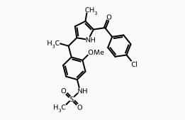 COc1cc(NS(C)(=O)=O)ccc1C(C)c1cc(C)c(C(=O)c2ccc(Cl)cc2)[nH]1